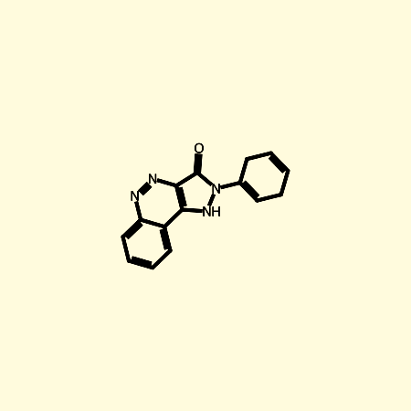 O=c1c2nnc3ccccc3c2[nH]n1C1=CCC=CC1